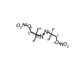 CC(C)(CO[N+](=O)[O-])N=NC(C)(C)CO[N+](=O)[O-]